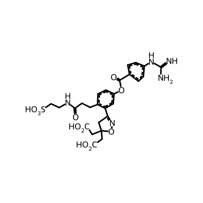 N=C(N)Nc1ccc(C(=O)Oc2ccc(CCC(=O)NCCS(=O)(=O)O)c(C3=NOC(CC(=O)O)(CC(=O)O)C3)c2)cc1